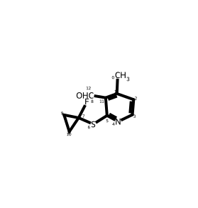 Cc1ccnc(SC2(F)CC2)c1C=O